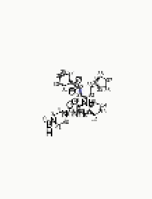 CBN1CCN(C(=O)N[C@@H](Cc2ccccc2)C(=O)N[C@H](/C=C/S(=O)(=O)c2ccccc2)CCc2ccccc2)CC1